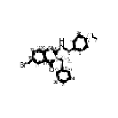 COc1ccc(CNc2nc3ccc(Br)cc3c(=O)n2[C@H](C)c2ccccc2)cc1